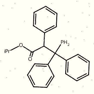 CC(C)OC(=O)C(c1ccccc1)C(P)(c1ccccc1)c1ccccc1